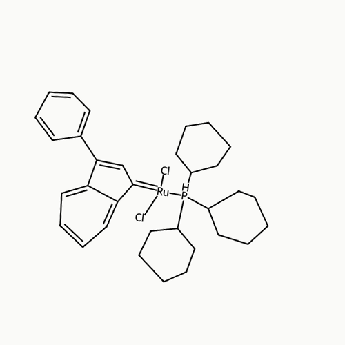 [Cl][Ru]([Cl])(=[C]1C=C(c2ccccc2)c2ccccc21)[PH](C1CCCCC1)(C1CCCCC1)C1CCCCC1